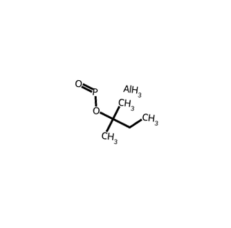 CCC(C)(C)OP=O.[AlH3]